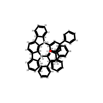 c1ccc(-c2cc(-c3ccccc3)cc(-n3c4ccccc4c4ccc5c6ccccc6n(-c6nc7ccccc7nc6-c6ccccc6)c5c43)c2)cc1